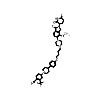 COc1c(N2CCN(CCCCOc3ccc(C4CCN(c5ccc(C#N)c(C(F)(F)F)c5)CC4)cc3)CC2)ccc2c1CN(C1CCC(=O)NC1=O)C2=O